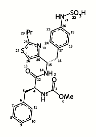 COC(=O)N[C@@H](Cc1ccccc1)C(=O)N[C@@H](Cc1ccc(NS(=O)(=O)O)cc1)c1csc(C(C)C)n1